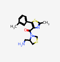 Cc1cccc(-c2sc(C)nc2C(=O)N2CSCC2CN)c1